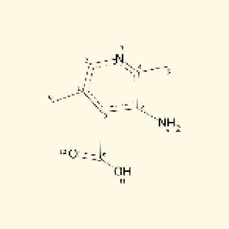 Cc1cnc(C)c(N)c1C(=O)O